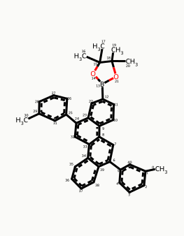 Cc1cccc(-c2cc3c4ccc(B5OC(C)(C)C(C)(C)O5)cc4c(-c4cccc(C)c4)cc3c3ccccc23)c1